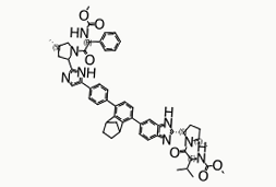 COC(=O)N[C@H](C(=O)N1[C@@H](C)CC[C@H]1c1nc2ccc(-c3ccc(-c4ccc(-c5cnc(C6C[C@H](C)CN6C(=O)[C@H](NC(=O)OC)c6ccccc6)[nH]5)cc4)c4c3C3CCC4C3)cc2[nH]1)C(C)C